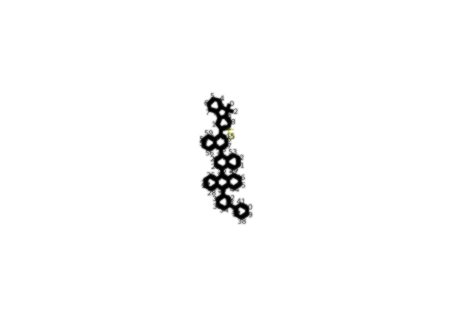 CC1(C)c2ccccc2-c2cc3c(cc21)sc1cc(-c2ccc(-c4c5ccccc5c(-c5cccc(-c6ccccc6)c5)c5ccccc45)c4ccccc24)c2ccccc2c13